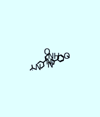 COc1ccc(-c2cnn3c(C4CCN(C[C](C)C)CC4)cc(=O)[nH]c23)cc1